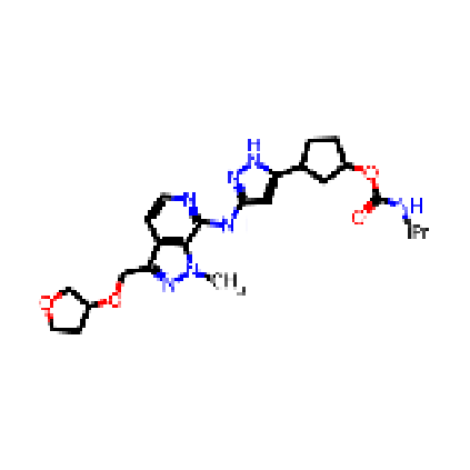 CC(C)NC(=O)OC1CCC(c2cc(Nc3nccc4c(COC5CCOC5)nn(C)c34)n[nH]2)C1